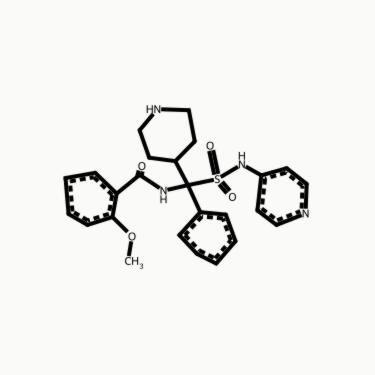 COc1ccccc1C(=O)NC(c1ccccc1)(C1CCNCC1)S(=O)(=O)Nc1ccncc1